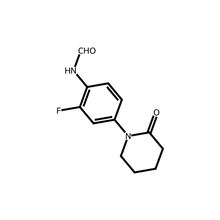 O=CNc1ccc(N2CCCCC2=O)cc1F